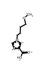 COCCCCn1cnc(C(=O)O)c1